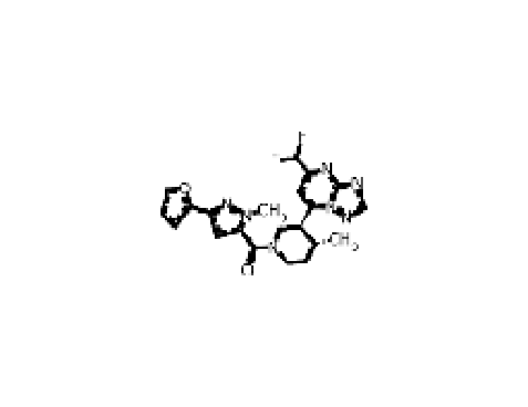 C[C@@H]1CCN(C(=O)c2cc(-c3ccco3)nn2C)C[C@H]1c1cc(C(F)F)nc2ncnn12